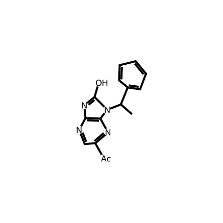 CC(=O)c1cnc2nc(O)n(C(C)c3ccccc3)c2n1